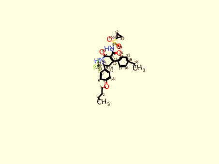 CCCCOc1ccc([C@]2(C(F)(F)F)CC(c3ccc(CC)cc3)=C(C(=O)NS(=O)(=O)C3CC3)C(=O)N2)cc1